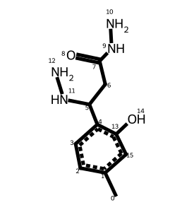 Cc1ccc(C(CC(=O)NN)NN)c(O)c1